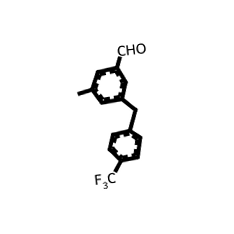 Cc1cc(C=O)cc(Cc2ccc(C(F)(F)F)cc2)c1